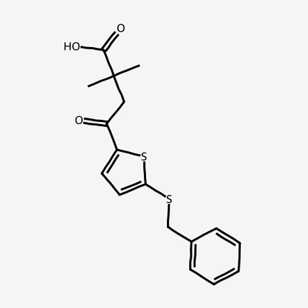 CC(C)(CC(=O)c1ccc(SCc2ccccc2)s1)C(=O)O